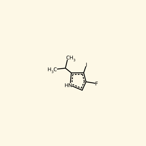 CC(C)c1[nH]cc(F)c1I